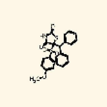 COc1ccc(S(=O)(=O)C2(C(c3ccccc3)c3ccccc3)SC(=O)NC2=O)cc1